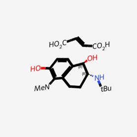 CNc1c(O)ccc2c1CC[C@@H](NC(C)(C)C)[C@@H]2O.O=C(O)C=CC(=O)O